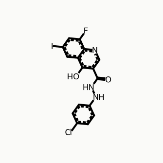 O=C(NNc1ccc(Cl)cc1)c1cnc2c(F)cc(I)cc2c1O